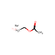 CCOC(C)=O.[BH4-].[Na+]